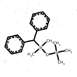 C[Si](C)(C)O[Si](C)(C)C(c1ccccc1)c1ccccc1